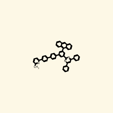 Cc1cccc(-c2ccc(-c3ccc(-c4cc(-c5nc(-c6ccccc6)cc(-c6ccccc6)n5)cc(-c5c6ccccc6cc6ccccc56)c4)cc3)cc2)n1